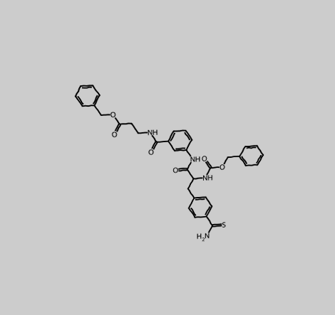 NC(=S)c1ccc(CC(NC(=O)OCc2ccccc2)C(=O)Nc2cccc(C(=O)NCCC(=O)OCc3ccccc3)c2)cc1